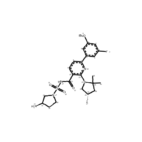 CC(C)COc1cc(F)cc(-c2ccc(C(=O)NS(=O)(=O)N3CCC(N)C3)c(N3C[C@@H](C)CC3(C)C)n2)c1